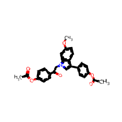 COc1ccc2c(-c3ccc(OC(C)=O)cc3)cn(CC(=O)c3ccc(OC(C)=O)cc3)c2c1